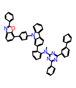 CN(c1nc(-c2ccccc2)nc(-c2cccc(-c3ccccc3)c2)n1)c1ccccc1-c1ccc2c3ccccc3n(-c3ccc(-c4cccc5nc(-c6ccccc6)oc45)cc3)c2c1